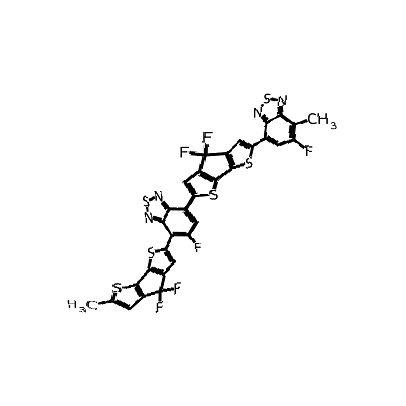 Cc1cc2c(s1)-c1sc(-c3c(F)cc(-c4cc5c(s4)-c4sc(-c6cc(F)c(C)c7nsnc67)cc4C5(F)F)c4nsnc34)cc1C2(F)F